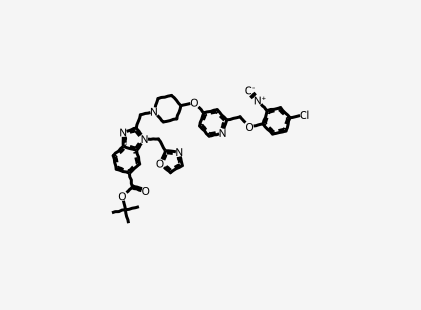 [C-]#[N+]c1cc(Cl)ccc1OCc1cc(OC2CCN(Cc3nc4ccc(C(=O)OC(C)(C)C)cc4n3Cc3ncco3)CC2)ccn1